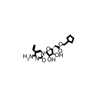 C=Cc1cn([C@@H]2O[C@H](CC(=O)OCC3CCCC3)[C@@H](O)[C@H]2O)c(=O)nc1N